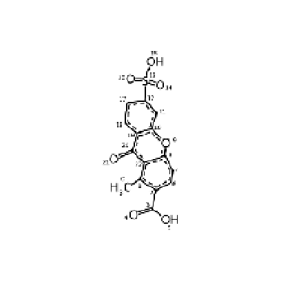 Cc1c(C(=O)O)ccc2oc3cc(S(=O)(=O)O)ccc3c(=O)c12